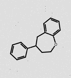 c1ccc(C2CCOc3ccccc3C2)cc1